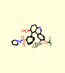 COc1cc2c(cc1OC(F)F)C=NC1CCC(O)C(c3cccc(S(=O)(=O)N4CCCC4)c3)C21